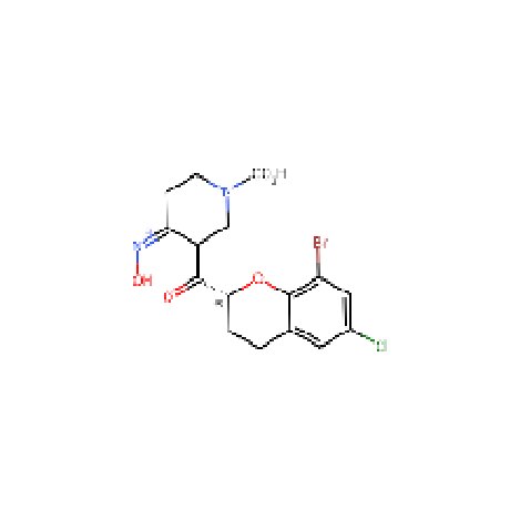 O=C(C1CN(C(=O)O)CC/C1=N/O)[C@H]1CCc2cc(Cl)cc(Br)c2O1